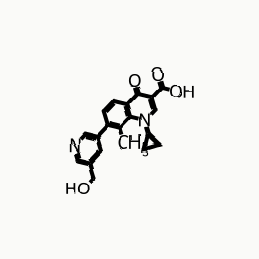 Cc1c(-c2cncc(CO)c2)ccc2c(=O)c(C(=O)O)cn(C3CC3)c12